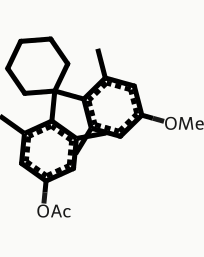 COc1cc(C)c(C2(c3c(C)cc(OC(C)=O)cc3C)CCCCC2)c(C)c1